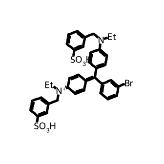 CCN(Cc1cccc(S(=O)(=O)O)c1)c1ccc(C(=C2C=CC(=[N+](CC)Cc3cccc(S(=O)(=O)O)c3)C=C2)c2cccc(Br)c2)cc1